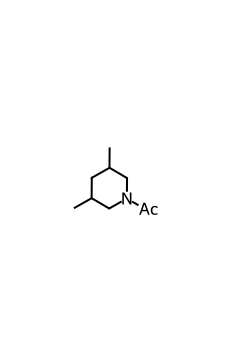 CC(=O)N1CC(C)CC(C)C1